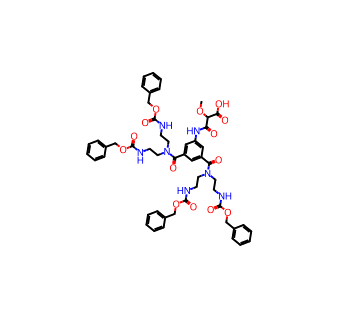 COC(C(=O)O)C(=O)Nc1cc(C(=O)N(CCNC(=O)OCc2ccccc2)CCNC(=O)OCc2ccccc2)cc(C(=O)N(CCNC(=O)OCc2ccccc2)CCNC(=O)OCc2ccccc2)c1